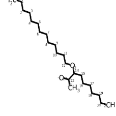 CCCCCCCCCCCCCOC(CCCCCCC)C(C)[O]